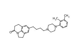 Cc1cccc(N2CCN(CCCCc3cc4c5c(c3)CCN5C(=O)CC4)CC2)c1C